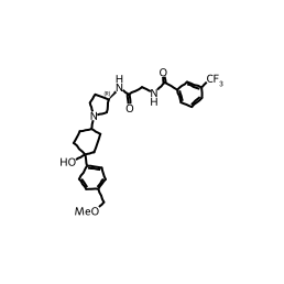 COCc1ccc(C2(O)CCC(N3CC[C@@H](NC(=O)CNC(=O)c4cccc(C(F)(F)F)c4)C3)CC2)cc1